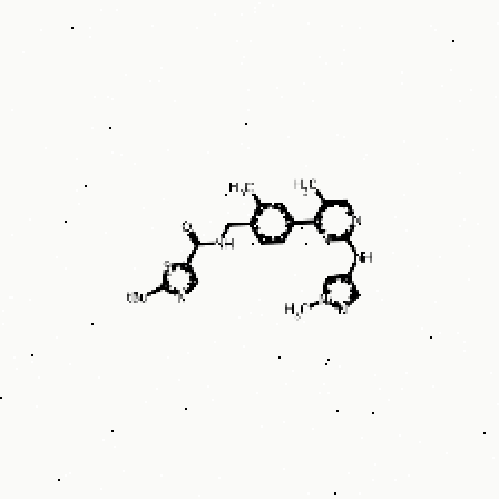 Cc1cc(-c2nc(Nc3cnn(C)c3)ncc2C)ccc1CNC(=O)c1cnc(C(C)(C)C)s1